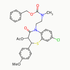 COc1ccc(C2Sc3cc(Cl)ccc3N(CCN(C)C(=O)OCc3ccccc3)C(=O)C2OC(C)=O)cc1